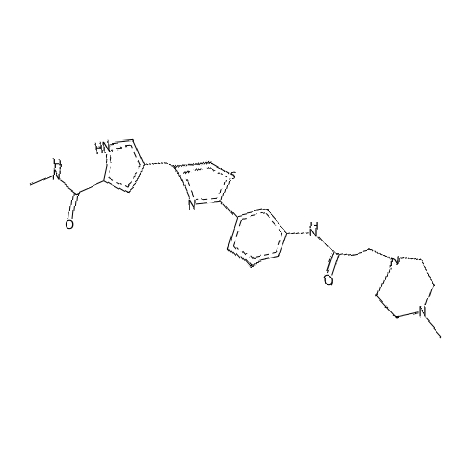 CNC(=O)c1cc(-c2csc(-c3cccc(NC(=O)CN4CCN(C)CC4)c3)n2)c[nH]1